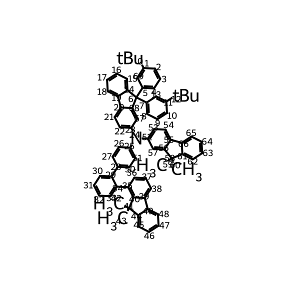 CC(C)(C)c1cccc(C2(c3cccc(C(C)(C)C)c3)c3ccccc3-c3ccc(N(c4ccc(-c5ccccc5-c5cccc6c5C(C)(C)c5ccccc5-6)cc4)c4ccc5c(c4)C(C)(C)c4ccccc4-5)cc32)c1